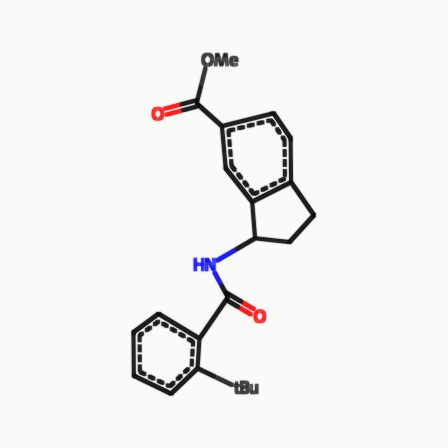 COC(=O)c1ccc2c(c1)C(NC(=O)c1ccccc1C(C)(C)C)CC2